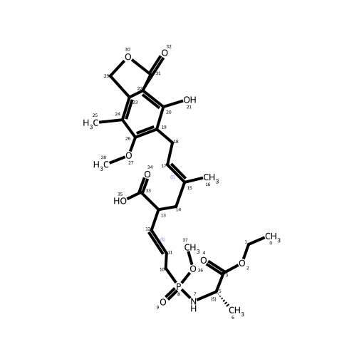 CCOC(=O)[C@H](C)NP(=O)(C/C=C/C(C/C(C)=C/Cc1c(O)c2c(c(C)c1OC)COC2=O)C(=O)O)OC